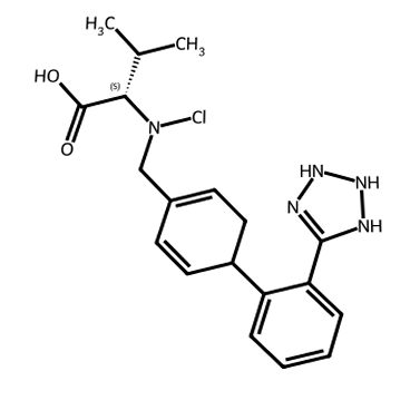 CC(C)[C@@H](C(=O)O)N(Cl)CC1=CCC(c2ccccc2C2=NNNN2)C=C1